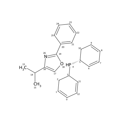 C1=CCC(P[C@H]2C=CC=CC2)C=C1.CC(C)c1coc(-c2ccccc2)n1